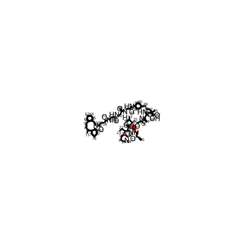 C#CCCCON(C(=O)[C@@H](NC(=O)[C@H]1CCCCN1C)[C@@H](C)CC)[C@H](C[C@@H](OC(C)=O)c1nc(C(=O)N[C@@H](Cc2ccc(NC(=O)CNC(=O)CNC(=O)CNC(=O)CCC(=O)N3Cc4ccccc4/C=C\C(C)c4ccccc43)cc2)CC(C)(C)C(=O)O)cs1)C(C)C